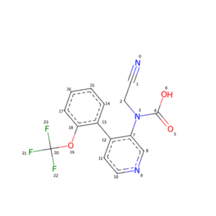 N#CCN(C(=O)O)c1cnccc1-c1ccccc1OC(F)(F)F